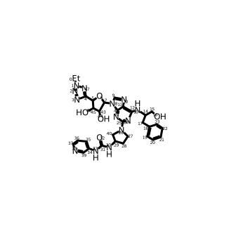 CCn1nnc(C2OC(n3cnc4c(NC(CO)Cc5ccccc5)nc(N5CCC(NC(=O)Nc6cccnc6)C5)nc43)C(O)C2O)n1